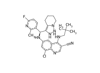 Cc1nc(F)ccc1[C@H](Nc1cc(Cl)c2ncc(C#N)c(NCC(C)(C)C)c2c1)C1=C2CCCCN2NN1